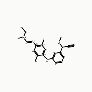 C#CC(OC)c1cccc(Oc2cc(C)c(N=CN(C)CC)cc2C)c1